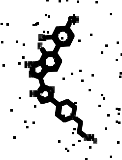 CCc1cc(O)ccc1-c1ccc2c(-c3nc(C4=CCN(CCN)CC4)c[nH]3)n[nH]c2c1F